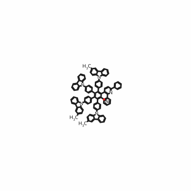 Cc1ccc2c(c1)c1ccccc1n2-c1ccc(-c2c(C#N)c(-c3ccc(-c4ccccc4)nc3-c3ccccc3)c(-c3ccc(-n4c5ccccc5c5cc(C)ccc54)cc3)c(-c3ccc(-n4c5ccccc5c5ccccc54)cc3)c2-c2ccc(-n3c4ccccc4c4cc(C)ccc43)cc2)cc1